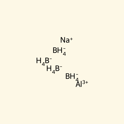 [Al+3].[BH4-].[BH4-].[BH4-].[BH4-].[Na+]